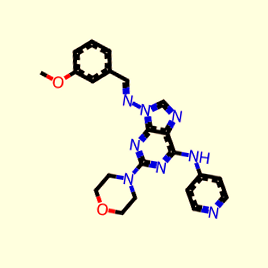 COc1cccc(C=Nn2cnc3c(Nc4ccncc4)nc(N4CCOCC4)nc32)c1